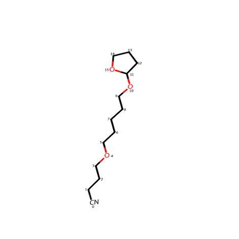 N#CCCCOCCCCCOC1CCCO1